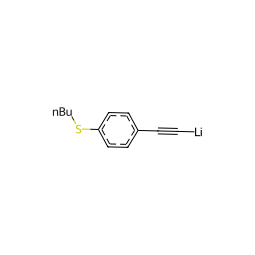 [Li][C]#Cc1ccc(SCCCC)cc1